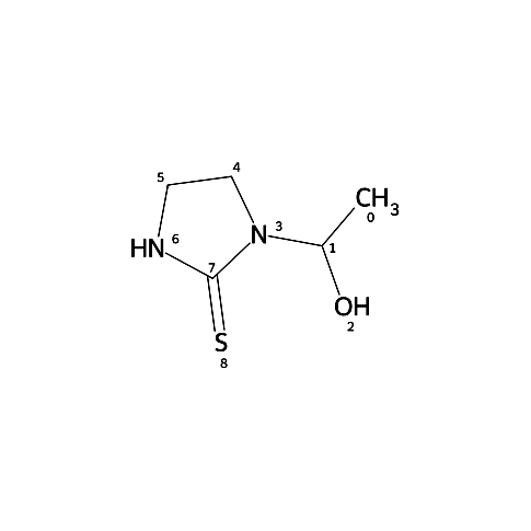 CC(O)N1CCNC1=S